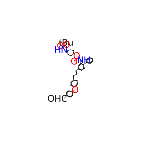 CC(C)(C)OC(=O)N[C@H]1CC[C@H](OC(=O)Nc2cc(/C=C/Cc3ccc(Oc4ccc(C=O)cc4)cc3)ccc2-c2ccccc2)CC1